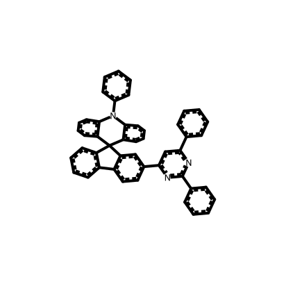 c1ccc(-c2cc(-c3ccc4c(c3)C3(c5ccccc5-4)c4ccccc4N(c4ccccc4)c4ccccc43)nc(-c3ccccc3)n2)cc1